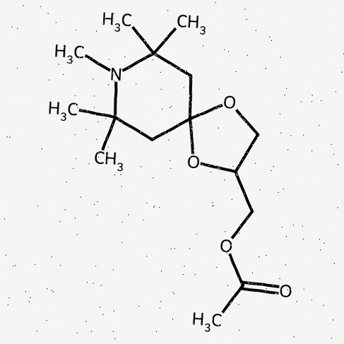 CC(=O)OCC1COC2(CC(C)(C)N(C)C(C)(C)C2)O1